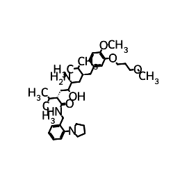 COCCCOc1cc(C[C@@H](C[C@H](N)[C@@H](O)C[C@H](C(=O)NCc2ccccc2N2CCCC2)C(C)C)C(C)C)ccc1OC